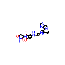 O=C1CCC(N2C(=O)c3ccc(NC[C@H]4C[C@H](n5cc(-c6nccc7nccnc67)c(C6CC6)n5)C4)cc3C2=O)C(=O)N1